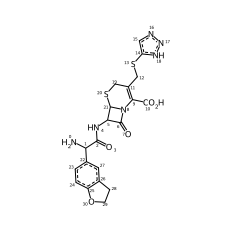 NC(C(=O)NC1C(=O)N2C(C(=O)O)=C(CSc3cnn[nH]3)CSC12)c1ccc2c(c1)CCO2